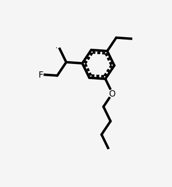 [CH2]C(CF)c1cc(CC)cc(OCCCC)c1